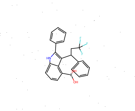 OB(O)c1cccc2[nH]c(-c3ccccc3)c(C(CC(F)(F)F)c3ccccc3)c12